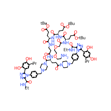 CCNC(=O)c1nnc(-c2cc(C(C)C)c(O)cc2O)n1-c1ccc(CN2CCN(C(=O)CC[C@H](NC(=O)CCNC(=O)[C@@H](CCC(=O)OC(C)(C)C)NC(=O)[C@@H](CCC(=O)OC(C)(C)C)NC(=O)[C@@H](CCC(=O)OC(C)(C)C)NC(=O)COCCOCCN)C(=O)N3CCN(Cc4ccc(-n5c(C(=O)NCC)nnc5-c5cc(C(C)C)c(O)cc5O)cc4)CC3)CC2)cc1